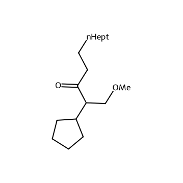 CCCCCCCCCC(=O)C(COC)C1CCCC1